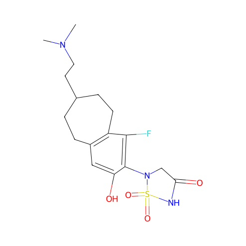 CN(C)CCC1CCc2cc(O)c(N3CC(=O)NS3(=O)=O)c(F)c2CC1